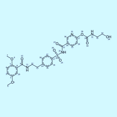 COc1ccc(OC)c(C(=O)NCCc2ccc(S(=O)(=O)NC(=O)c3ccc(OC(=O)NCCO)nc3)cc2)c1